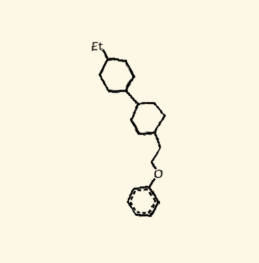 CCC1CCC(C2CCC(CCOc3ccccc3)CC2)CC1